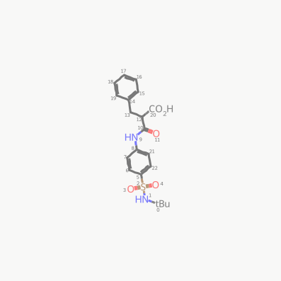 CC(C)(C)NS(=O)(=O)c1ccc(NC(=O)C(Cc2ccccc2)C(=O)O)cc1